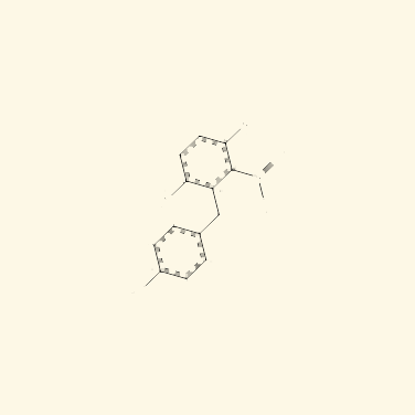 Nc1ccc(N)c([N+](=O)[O-])c1Cc1ccc(F)cc1